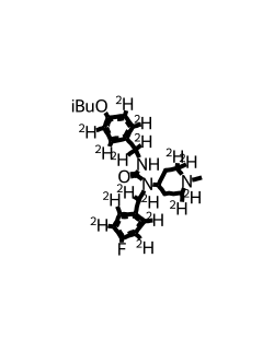 [2H]c1c([2H])c(C([2H])([2H])N(C(=O)NC([2H])([2H])c2c([2H])c([2H])c(OCC(C)C)c([2H])c2[2H])C2CC([2H])([2H])N(C)C([2H])([2H])C2)c([2H])c([2H])c1F